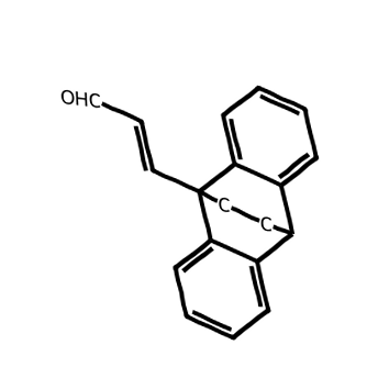 O=CC=CC12CCC(c3ccccc31)c1ccccc12